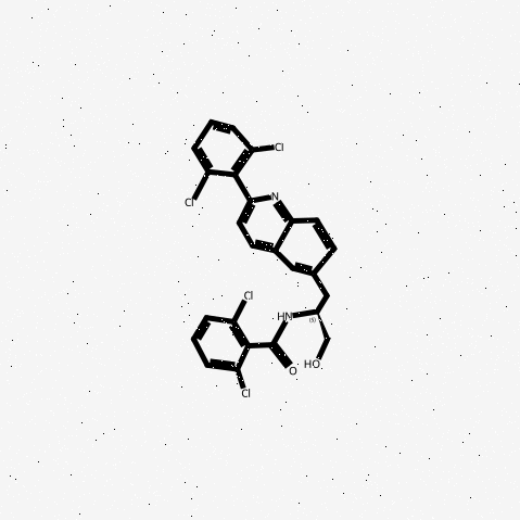 O=C(N[C@H](CO)Cc1ccc2nc(-c3c(Cl)cccc3Cl)ccc2c1)c1c(Cl)cccc1Cl